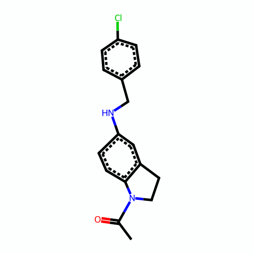 CC(=O)N1CCc2cc(NCc3ccc(Cl)cc3)ccc21